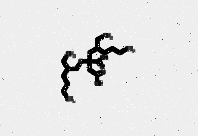 CCCCC(CC)COC(CC(=O)O)(CC(CC)CCCC)C(=O)O